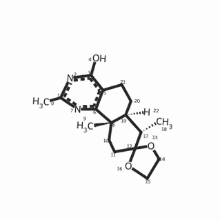 Cc1nc(O)c2c(n1)[C@@]1(C)CCC3(OCCO3)[C@@H](C)[C@@H]1CC2